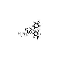 C[C@H](OC(=O)CN)C(c1ccc(F)cc1)c1ccc(F)cc1